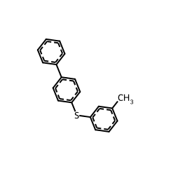 Cc1cccc(Sc2ccc(-c3ccccc3)cc2)c1